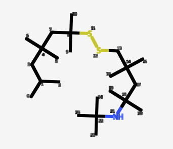 CC(C)CC(C)(C)CC(C)(C)SSCC(C)(C)CC(C)(C)NC(C)(C)C